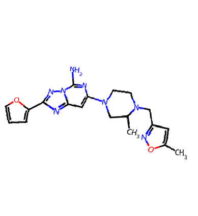 Cc1cc(CN2CCN(c3cc4nc(-c5ccco5)nn4c(N)n3)CC2C)no1